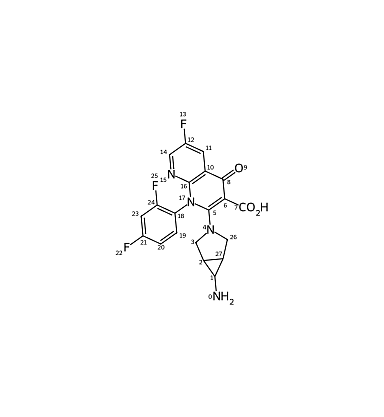 NC1C2CN(c3c(C(=O)O)c(=O)c4cc(F)cnc4n3-c3ccc(F)cc3F)CC12